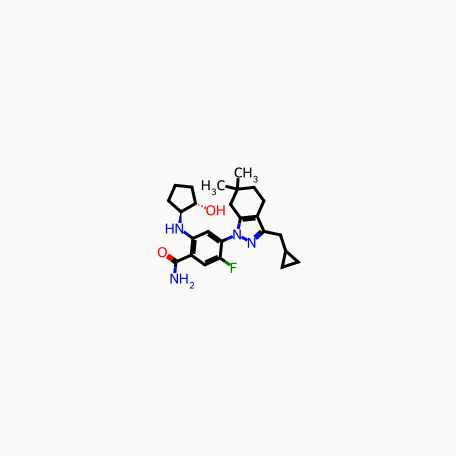 CC1(C)CCc2c(CC3CC3)nn(-c3cc(N[C@H]4CCC[C@@H]4O)c(C(N)=O)cc3F)c2C1